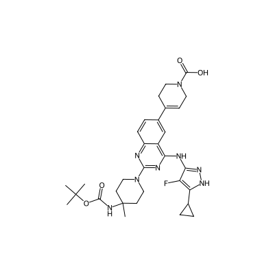 CC1(NC(=O)OC(C)(C)C)CCN(c2nc(Nc3n[nH]c(C4CC4)c3F)c3cc(C4=CCN(C(=O)O)CC4)ccc3n2)CC1